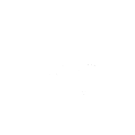 COC(C)CC(OC)C(C)c1ccccc1C(=O)C(F)(F)F